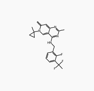 C=C1C=c2nc(C)nc(NCc3cccc(C(C)(F)F)c3F)c2=CN1C1(C)CC1